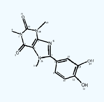 Cn1c(=O)c2c(nc(-c3ccc(O)c(O)c3)n2C)n(C)c1=O